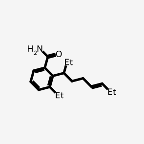 CC/C=C/CCC(CC)c1c(CC)cccc1C(N)=O